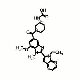 CCn1c(-c2nc3cc(C(=O)N4CCC[C@@H](NC(=O)O)C4)cc(OC)c3n2C)cc2nccnc21